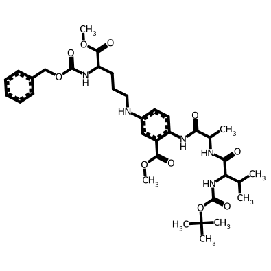 COC(=O)c1cc(NCCCC(NC(=O)OCc2ccccc2)C(=O)OC)ccc1NC(=O)C(C)NC(=O)C(NC(=O)OC(C)(C)C)C(C)C